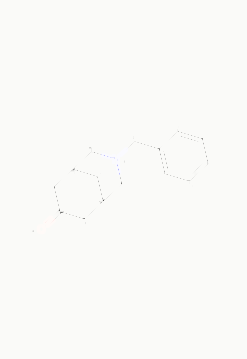 O=C1CC2CC(C1)CN(Cc1ccccc1)C2